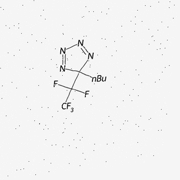 CCCCC1(C(F)(F)C(F)(F)F)N=NN=N1